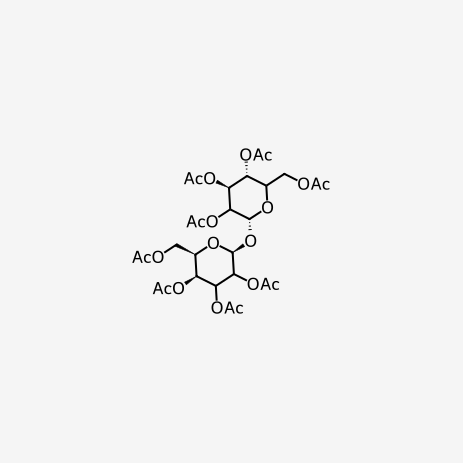 CC(=O)OCC1O[C@H](O[C@@H]2O[C@H](COC(C)=O)[C@H](OC(C)=O)C(OC(C)=O)C2OC(C)=O)C(OC(C)=O)[C@@H](OC(C)=O)[C@@H]1OC(C)=O